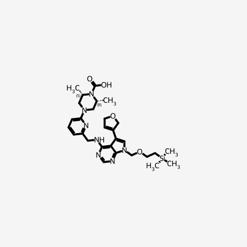 C[C@@H]1CN(c2cccc(CNc3ncnc4c3c(C3=CCOC3)cn4COCC[Si](C)(C)C)n2)C[C@H](C)N1C(=O)O